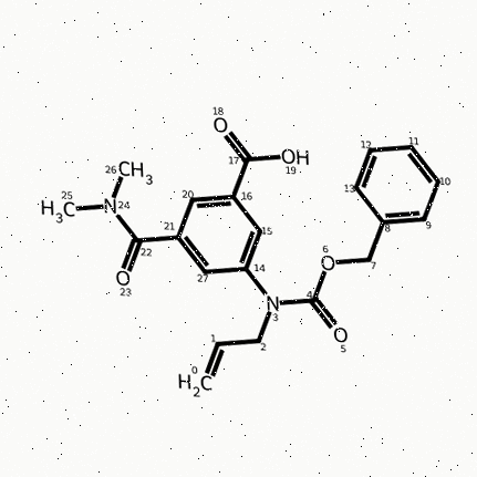 C=CCN(C(=O)OCc1ccccc1)c1cc(C(=O)O)cc(C(=O)N(C)C)c1